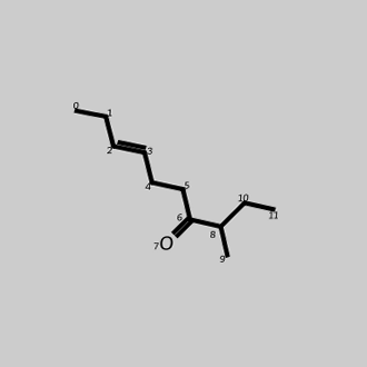 CCC=CCCC(=O)C(C)CC